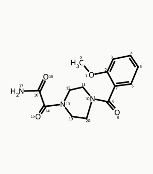 COc1ccccc1C(=O)N1CCN(C(=O)C(N)=O)CC1